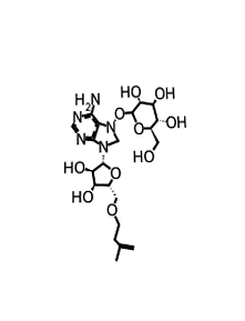 C=C(C)CCOC[C@H]1O[C@@H](N2CN(OC3O[C@H](CO)[C@@H](O)[C@H](O)[C@H]3O)c3c(N)ncnc32)[C@H](O)[C@@H]1O